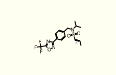 C/C=C/S(=O)(=O)N(Cc1ccc(-c2noc(C(F)(F)F)n2)cc1)C(C)C